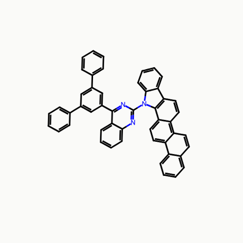 c1ccc(-c2cc(-c3ccccc3)cc(-c3nc(-n4c5ccccc5c5ccc6c7ccc8ccccc8c7ccc6c54)nc4ccccc34)c2)cc1